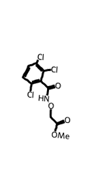 COC(=O)CONC(=O)c1c(Cl)ccc(Cl)c1Cl